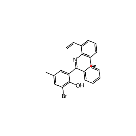 C=Cc1cccc(C=C)c1N=C(c1ccccc1)c1cc(C)cc(Br)c1O